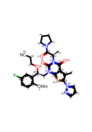 COc1ccc(F)cc1[C@H](Cn1c(=O)n([C@H](C)C(=O)N2CCCC2)c(=O)c2c(C)c(-n3cccn3)sc21)OCCC#N